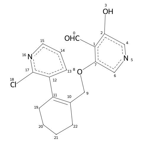 O=Cc1c(O)cncc1OCC1=C(c2cccnc2Cl)CCCC1